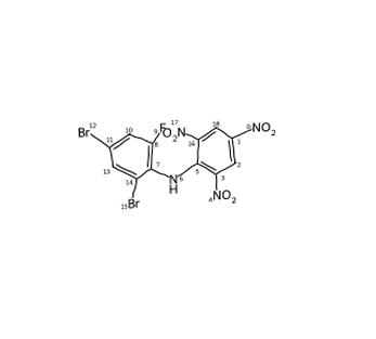 O=[N+]([O-])c1cc([N+](=O)[O-])c(Nc2c(F)cc(Br)cc2Br)c([N+](=O)[O-])c1